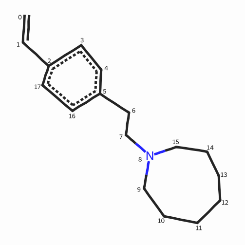 C=Cc1ccc(CCN2CCCCCCC2)cc1